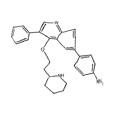 Nc1ccc(-c2ccc3ncc(-c4ccccc4)c(OCCC4CCCCN4)c3c2)cc1